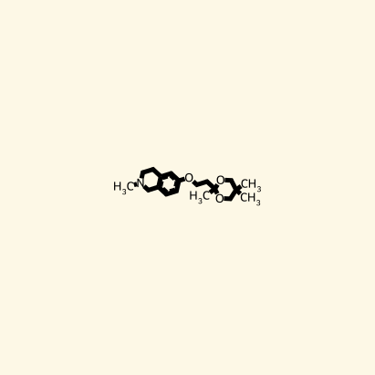 CN1CCc2cc(OCCC3(C)OCC(C)(C)CO3)ccc2C1